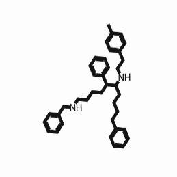 Cc1ccc(CCNC(CCCCc2ccccc2)C(CCCCNCc2ccccc2)c2ccccc2)cc1